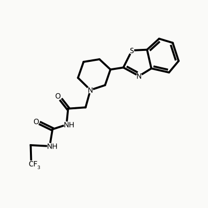 O=C(CN1CCCC(c2nc3ccccc3s2)C1)NC(=O)NCC(F)(F)F